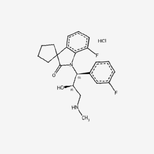 CNC[C@@H](O)[C@H](c1cccc(F)c1)N1C(=O)C2(CCCC2)c2cccc(F)c21.Cl